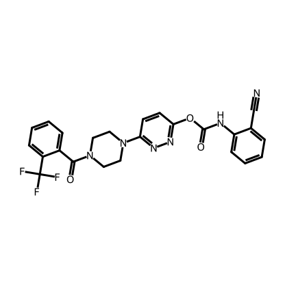 N#Cc1ccccc1NC(=O)Oc1ccc(N2CCN(C(=O)c3ccccc3C(F)(F)F)CC2)nn1